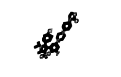 Cc1c(S(C)(=O)=O)c(-c2cc(F)cc(N3CCN(c4ccc(N5CCOC5=O)cc4)CC3)c2)c(-c2ccc(Cl)cc2)n1C(C)C